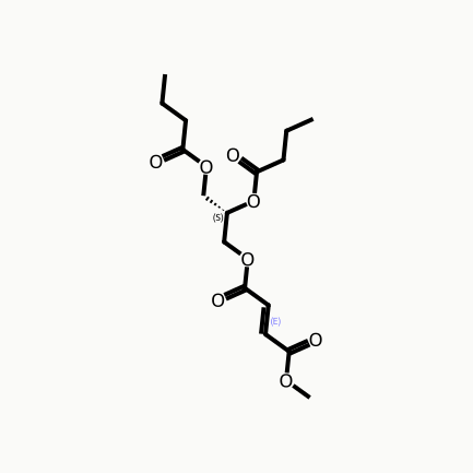 CCCC(=O)OC[C@@H](COC(=O)/C=C/C(=O)OC)OC(=O)CCC